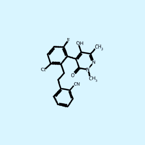 Cc1nn(C)c(=O)c(-c2c(F)ccc(Cl)c2CCc2ccccc2C#N)c1O